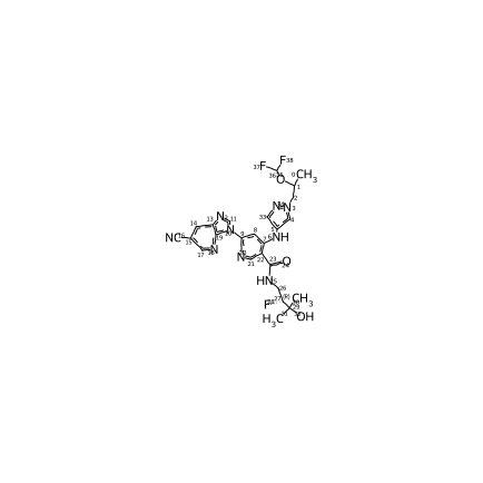 CC(Cn1cc(Nc2cc(-n3cnc4cc(C#N)cnc43)ncc2C(=O)NC[C@@H](F)C(C)(C)O)cn1)OC(F)F